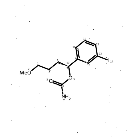 COCCC[C@H](OC(N)=O)c1cccc(I)c1